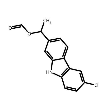 CC(OC=O)c1ccc2c(c1)[nH]c1ccc(Cl)cc12